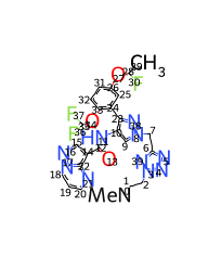 CNCCn1nnc(Cn2cc(NC(=O)c3cnn4cccnc34)c(-c3cc(OC(C)F)ccc3OC(F)F)n2)n1